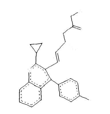 CC(=O)CC(=O)C[C@H](O)/C=C/c1c(C2CC2)nc2ccccc2c1-c1ccc(F)cc1